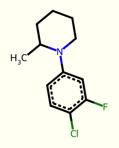 CC1CCCCN1c1ccc(Cl)c(F)c1